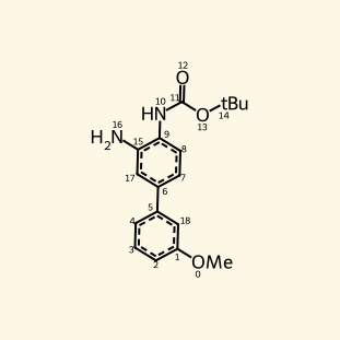 COc1cccc(-c2ccc(NC(=O)OC(C)(C)C)c(N)c2)c1